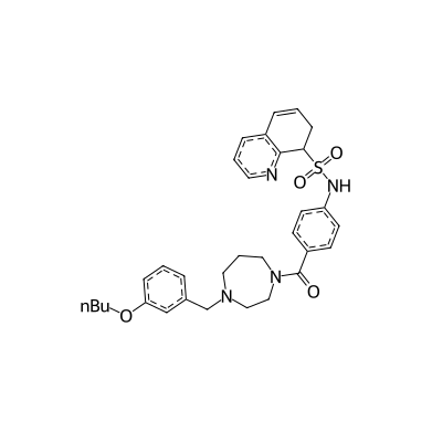 CCCCOc1cccc(CN2CCCN(C(=O)c3ccc(NS(=O)(=O)C4CC=Cc5cccnc54)cc3)CC2)c1